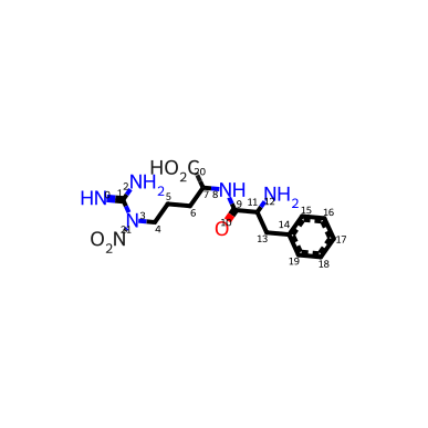 N=C(N)N(CCCC(NC(=O)C(N)Cc1ccccc1)C(=O)O)[N+](=O)[O-]